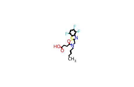 CCC=CCN(Cc1nc2c(F)c(F)cc(F)c2s1)C(=O)CCC(=O)O